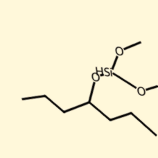 CCCC(CCC)O[SiH](OC)OC